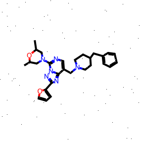 CC1CN(c2ncc(CN3CCC(Cc4ccccc4)CC3)c3nc(-c4ccco4)nn23)CC(C)O1